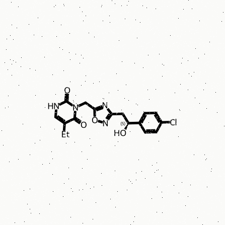 CCc1c[nH]c(=O)n(Cc2nc(C[C@H](O)c3ccc(Cl)cc3)no2)c1=O